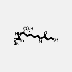 CC(C)(C)OC(=O)N[C@@H](CCCCNC(=O)CCS)C(=O)O